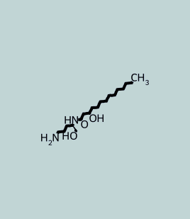 CCCCCCCCCCC[C@@H](O)CC(=O)N[C@@H](CO)CCCN